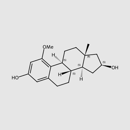 COc1cc(O)cc2c1[C@H]1CC[C@]3(C)C[C@@H](O)C[C@H]3[C@@H]1CC2